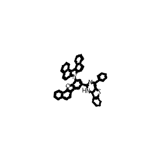 C1=CC2=C(CC1)SC1=C(c3ccccc3)N=C(c3cc(-n4c5ccc6ccccc6c5c5c6ccccc6ccc54)c4oc5c6ccccc6ccc5c4c3)NC21